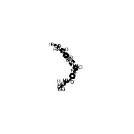 CC(C)(C)OC(=O)NCC(N)CNC(=O)[C@H]1CC[C@H](C(F)(F)c2cc(Cl)nc(N3CCN(S(=O)(=O)c4ccc(N5C[C@H](NC(=O)OC(C)(C)C)CC5=O)cc4)CC3)c2)CC1